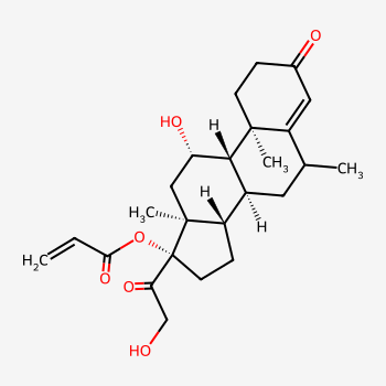 C=CC(=O)O[C@@]1(C(=O)CO)CC[C@H]2[C@@H]3CC(C)C4=CC(=O)CC[C@]4(C)[C@H]3[C@@H](O)C[C@@]21C